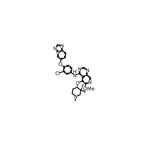 COc1ncc2ncnc(Nc3ccc(Oc4ccc5ncnn5c4)c(Cl)c3)c2c1O[C@@H]1CCN(C)CC1(F)F